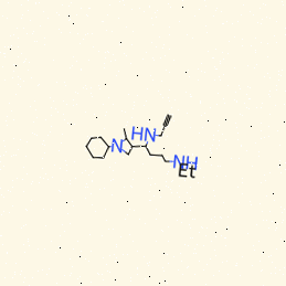 C#CCNC(CCCNCC)C1CN(C2CCCCC2)C1C